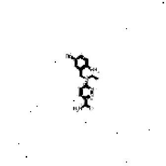 CCN(Cc1cc(Br)ccc1N)c1ccc(C(N)=O)nn1